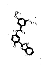 COc1cc(OC)cc(C(=O)Nc2ccc(Cl)c(-c3nc4ncccc4[nH]3)c2)c1